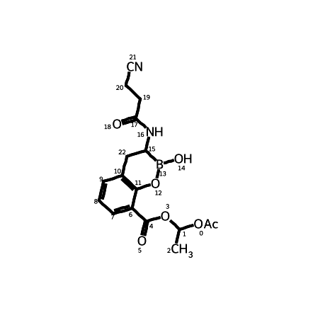 CC(=O)OC(C)OC(=O)c1cccc2c1OB(O)C(NC(=O)CCC#N)C2